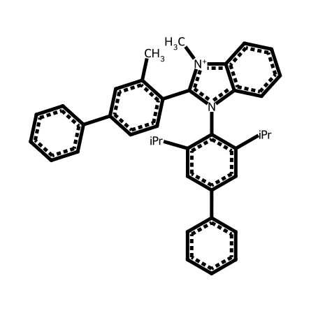 Cc1cc(-c2ccccc2)ccc1-c1n(-c2c(C(C)C)cc(-c3ccccc3)cc2C(C)C)c2ccccc2[n+]1C